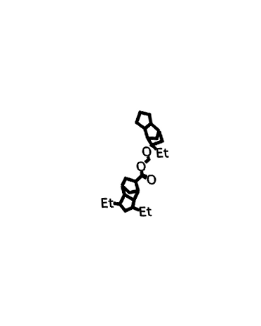 CCC1CC(CC)C2C3CC(CC3C(=O)OCOC3(CC)CC4CC3C3CCCC43)C12